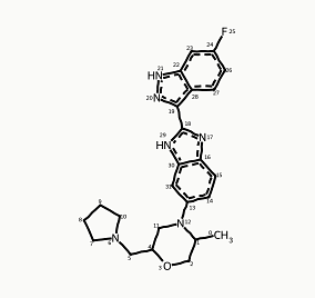 CC1COC(CN2CCCC2)CN1c1ccc2nc(-c3n[nH]c4cc(F)ccc34)[nH]c2c1